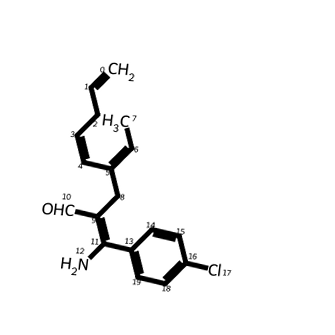 C=CC/C=C\C(=C/C)C/C(C=O)=C(/N)c1ccc(Cl)cc1